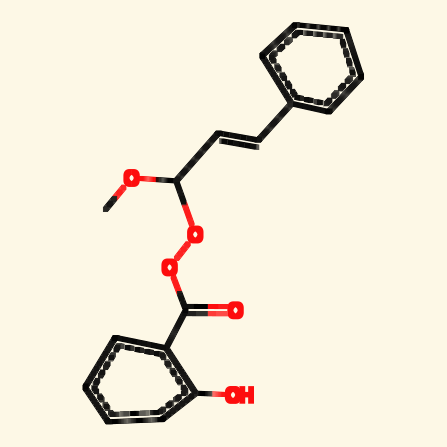 COC(C=Cc1ccccc1)OOC(=O)c1ccccc1O